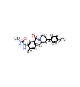 CCNC(=O)Nc1cc(C(=O)N2CCC(c3ccc(C#N)cc3)CC2)c(C)cc1C